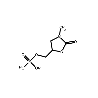 CN1CC(COP(=O)(O)O)OC1=O